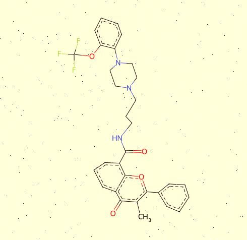 Cc1c(-c2ccccc2)oc2c(C(=O)NCCCN3CCN(c4ccccc4OC(F)(F)F)CC3)cccc2c1=O